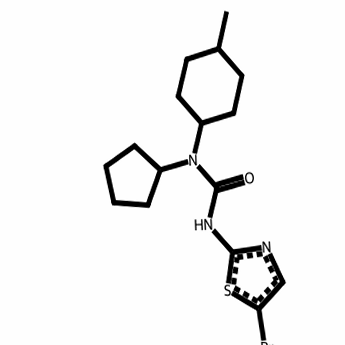 CC1CCC(N(C(=O)Nc2ncc(Br)s2)C2CCCC2)CC1